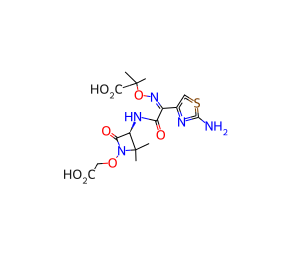 CC(C)(O/N=C(\C(=O)N[C@@H]1C(=O)N(OCC(=O)O)C1(C)C)c1csc(N)n1)C(=O)O